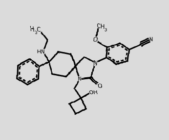 CCNC1(c2ccccc2)CCC2(CC1)CN(c1ccc(C#N)cc1OC)C(=O)N2CC1(O)CCC1